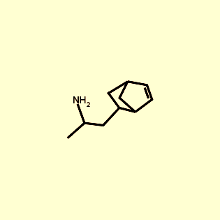 CC(N)CC1CC2C=CC1C2